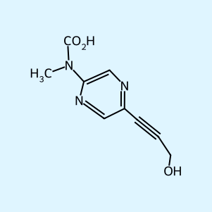 CN(C(=O)O)c1cnc(C#CCO)cn1